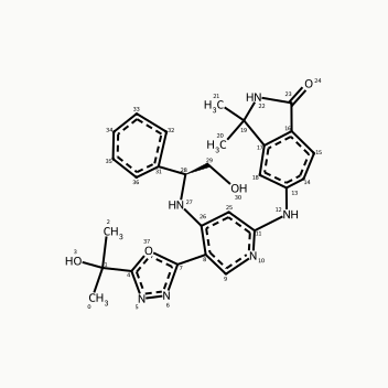 CC(C)(O)c1nnc(-c2cnc(Nc3ccc4c(c3)C(C)(C)NC4=O)cc2N[C@H](CO)c2ccccc2)o1